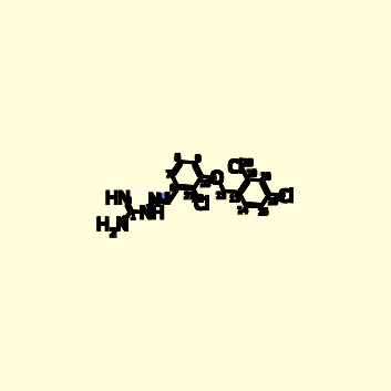 N=C(N)N/N=C/c1cccc(OCc2ccc(Cl)cc2Cl)c1Cl